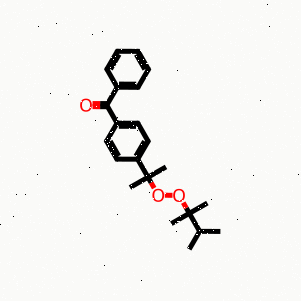 CC(C)C(C)(C)OOC(C)(C)c1ccc(C(=O)c2ccccc2)cc1